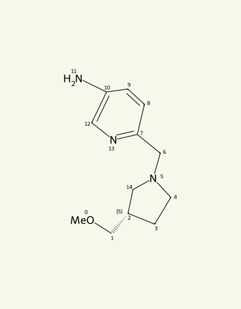 COC[C@H]1CCN(Cc2ccc(N)cn2)C1